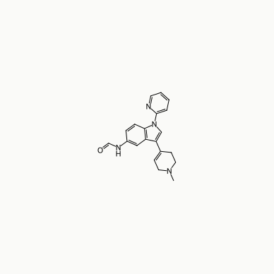 CN1CC=C(c2cn(-c3ccccn3)c3ccc(NC=O)cc23)CC1